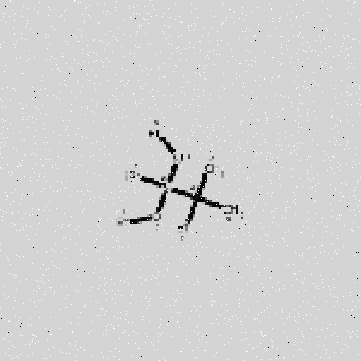 CCO[Si](OCC)(C(C)C)C(C)(C)CC